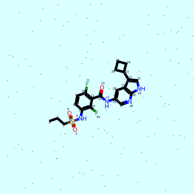 CCCS(=O)(=O)Nc1ccc(F)c(C(=O)Nc2cnc3[nH]cc(C4CCC4)c3c2)c1F